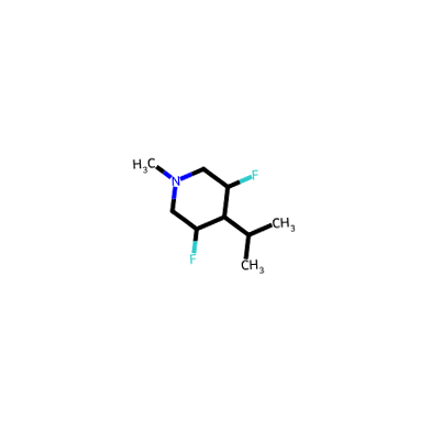 CC(C)C1C(F)CN(C)CC1F